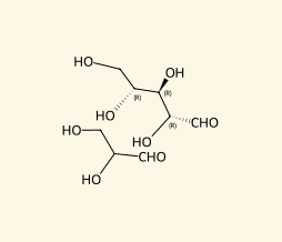 O=CC(O)CO.O=C[C@H](O)[C@H](O)[C@H](O)CO